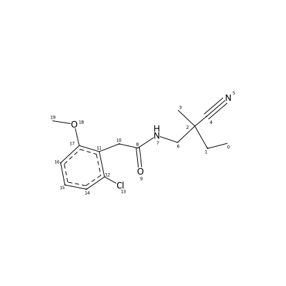 CCC(C)(C#N)CNC(=O)Cc1c(Cl)cccc1OC